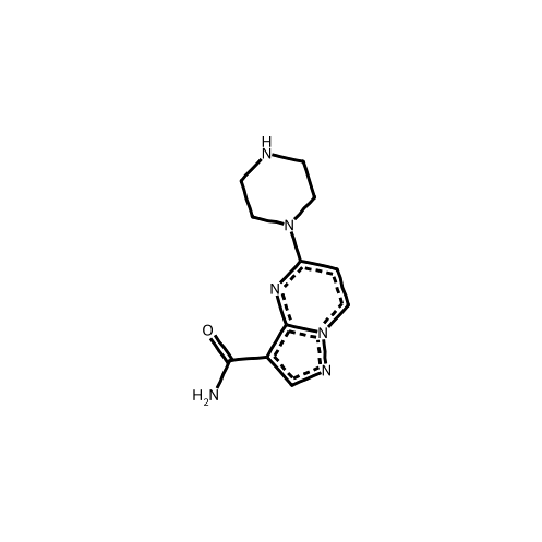 NC(=O)c1cnn2ccc(N3CCNCC3)nc12